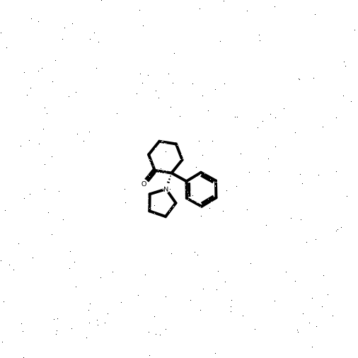 O=C1CCCC[C@]1(c1ccccc1)N1CCCC1